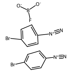 N#[N+]c1ccc(Br)cc1.N#[N+]c1ccc(Br)cc1.[O-]B([O-])F